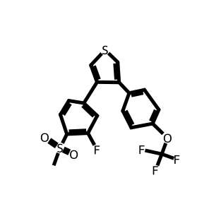 CS(=O)(=O)c1ccc(-c2cscc2-c2ccc(OC(F)(F)F)cc2)cc1F